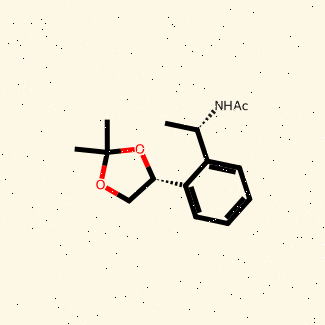 CC(=O)N[C@@H](C)c1ccccc1[C@@H]1COC(C)(C)O1